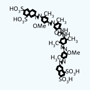 COc1cc(N=Nc2ccc3cc(S(=O)(=O)O)cc(S(=O)(=O)O)c3c2)c(C)cc1N=Nc1cc(C)c(NC(=O)Nc2cc(C)c(N=Nc3cc(C)c(/N=N/c4ccc5cc(S(=O)(=O)O)cc(S(=O)(=O)O)c5c4)cc3OC)cc2C)cc1C